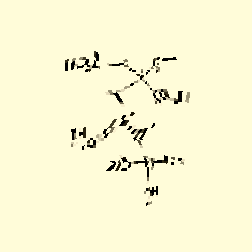 O=C(O)CC(O)(CC(=O)OP(=O)(O)O)C(=O)O.[KH]